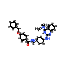 CN(C)c1nc(N[C@H]2CC[C@@H](CNC(=O)c3ccc(OCc4ccccc4)cc3)CC2)nc2ccccc12